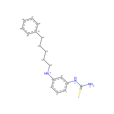 NC(=S)Nc1cccc(NCCCCCc2ccccc2)c1